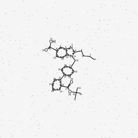 CCCCc1nc2cc(C(=O)O)ccc2n1Cc1ccc(-c2ccccc2C(=O)OC(C)(C)C)cc1